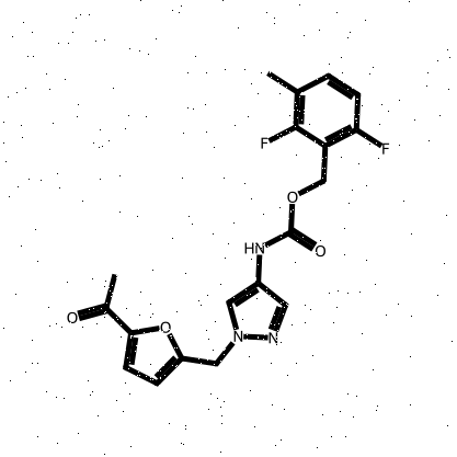 CC(=O)c1ccc(Cn2cc(NC(=O)OCc3c(F)ccc(C)c3F)cn2)o1